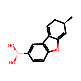 C[C@H]1C=c2oc3ccc(B(O)O)cc3c2=CC1